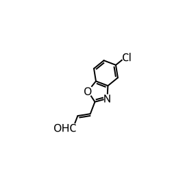 O=CC=Cc1nc2cc(Cl)ccc2o1